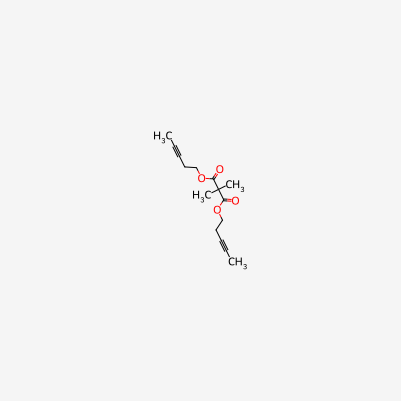 CC#CCCOC(=O)C(C)(C)C(=O)OCCC#CC